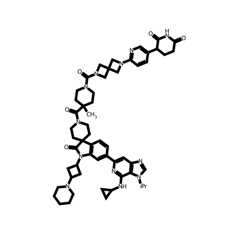 CC(C)n1cnc2cc(-c3ccc4c(c3)N(C3CC(N5CCCCC5)C3)C(=O)C43CCN(C(=O)C4(C)CCN(C(=O)N5CC6(C5)CN(c5ccc(C7CCC(=O)NC7=O)cn5)C6)CC4)CC3)nc(NC3CC3)c21